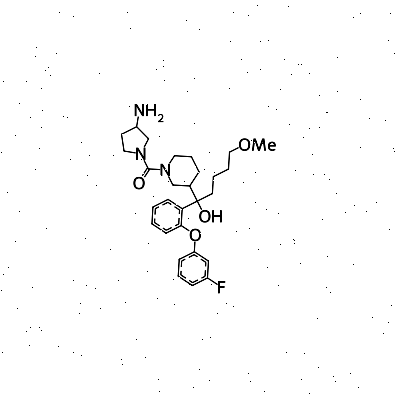 COCCCCC(O)(c1ccccc1Oc1cccc(F)c1)C1CCCN(C(=O)N2CCC(N)C2)C1